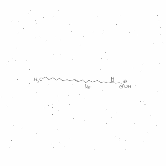 CCCCCCCCCC=CCCCCCCCCNCCS(=O)(=O)O.[Na]